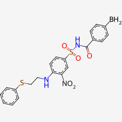 Bc1ccc(C(=O)NS(=O)(=O)c2ccc(NCCSc3ccccc3)c([N+](=O)[O-])c2)cc1